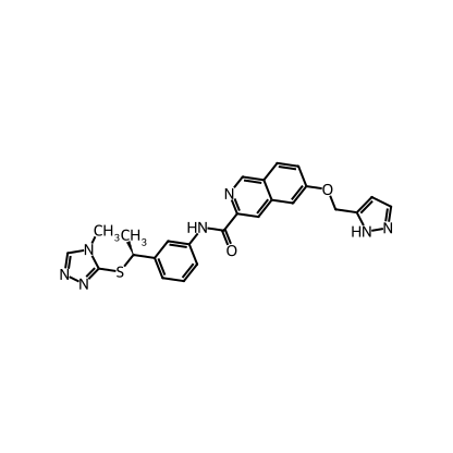 C[C@H](Sc1nncn1C)c1cccc(NC(=O)c2cc3cc(OCc4ccn[nH]4)ccc3cn2)c1